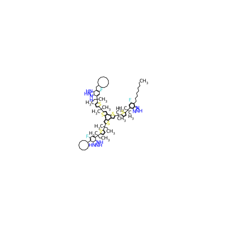 CCCCCCCCCc1c(F)cc(C(C)(C)c2ccc(C(C)(C)c3cc4c(s3)c3cc(C(C)(C)c5ccc(C(C)(CC)C6=CC(F)=C(CC7CCCCCCCCCC7)C7NNNC67)s5)sc3c3cc(C(C)(CC)c5ccc(C(C)(CC)C6=CC(F)=C(C7CCCCCCCCC7)C7NNNC67)s5)sc34)s2)c2n[nH]nc12